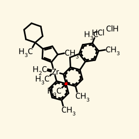 Cl.Cl.[CH2]=[Zr]([CH3])([C]1=CC(C2(C)CCCCC2)=CC1C)([c]1ccc(C)cc1)[c]1c(C)c(C)cc2c1Cc1cc(C)c(C)cc1-2